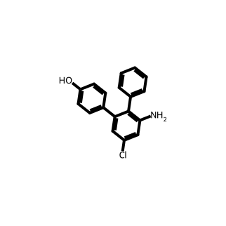 Nc1cc(Cl)cc(-c2ccc(O)cc2)c1-c1ccccc1